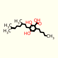 CCCCCc1cc(O)c(CCC(C)CCC=C(C)C)c(O)c1C(=O)O